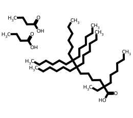 CCCC(=O)O.CCCC(=O)O.CCCCCCC(CC)(CCCCC(CCCCCC)(CCCCCC)C(CCCCCC)(CCCCCC)CCCCCC)C(=O)O